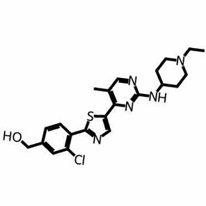 CCN1CCC(Nc2ncc(C)c(-c3cnc(-c4ccc(CO)cc4Cl)s3)n2)CC1